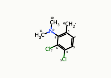 [CH2]c1ccc(Cl)c(Cl)c1N(C)C